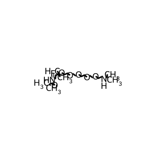 CC(C)NCCOCCOCCOCCOCCOC(C)(C)C(F)CNC(=O)C(C)C